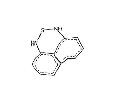 c1cc2c3c(cccc3c1)NSN2